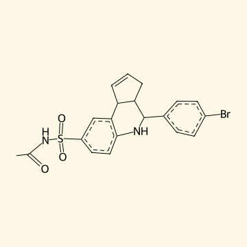 CC(=O)NS(=O)(=O)c1ccc2c(c1)C1C=CCC1C(c1ccc(Br)cc1)N2